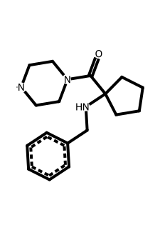 O=C(N1CC[N]CC1)C1(NCc2ccccc2)CCCC1